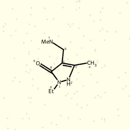 CCn1[nH]c(C)c(CNC)c1=O